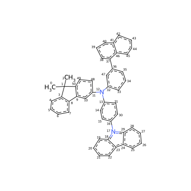 CC1(C)c2ccccc2-c2cc(N(c3ccc(-n4c5ccccc5c5ccccc54)cc3)c3cccc(-c4cccc5ccccc45)c3)ccc21